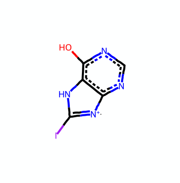 Oc1ncnc2c1NC(I)=[N+]2